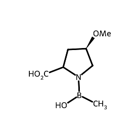 CO[C@@H]1CC(C(=O)O)N(B(C)O)C1